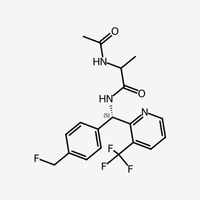 CC(=O)NC(C)C(=O)N[C@@H](c1ccc(CF)cc1)c1ncccc1C(F)(F)F